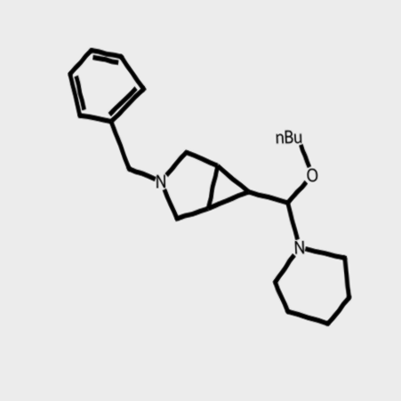 CCCCOC(C1C2CN(Cc3ccccc3)CC21)N1CCCCC1